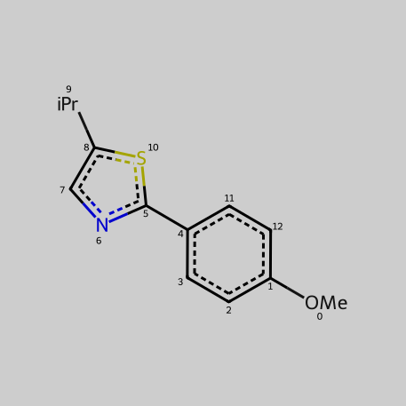 COc1ccc(-c2ncc(C(C)C)s2)cc1